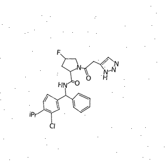 CC(C)c1ccc(C(NC(=O)C2CC(F)CN2C(=O)Cc2cnn[nH]2)c2ccccc2)cc1Cl